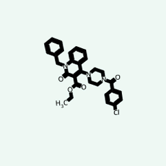 CCOC(=O)c1c(N2CCN(C(=O)c3ccc(Cl)cc3)CC2)c2ccccc2n(Cc2ccccc2)c1=O